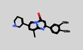 COc1ccc(-c2cc(=O)n3cc(C4=CCCNC4)cc(C)c3n2)cc1OC